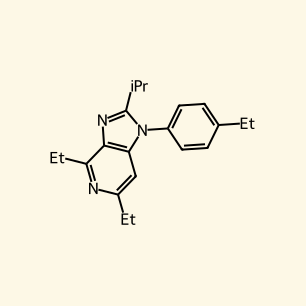 [CH2]Cc1ccc(-n2c(C(C)C)nc3c(CC)nc(CC)cc32)cc1